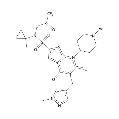 CC(=O)N1CCC(n2c(=O)n(Cc3cnn(C)c3)c(=O)c3cc(S(=O)(=O)N(OC(=O)C(F)(F)F)C4(C)CC4)sc32)CC1